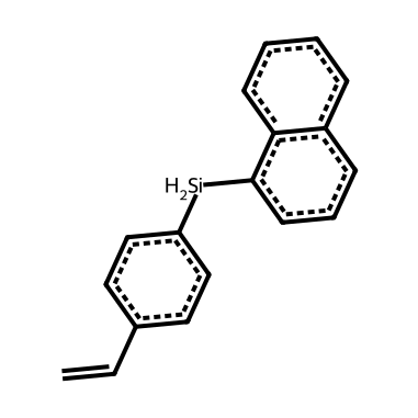 C=Cc1ccc([SiH2]c2cccc3ccccc23)cc1